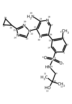 Cc1ccc(S(=O)(=O)NCC(C)(C)O)cc1-c1cnc(N)c(-n2cnc(C3CC3)n2)n1